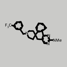 CNc1ncc2c(n1)-c1ccccc1C1(CCN(Cc3cccc(C(F)(F)F)c3)CC1)C2